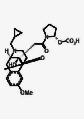 COc1ccc2c(c1)[C@]13CCN(CC4CC4)[C@H](C2)[C@]1(O)C[C@H](CC(=O)N1CCC[C@@H]1OC(=O)O)C(=O)C3